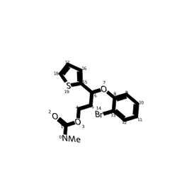 CNC(=O)OCCC(Oc1ccccc1Br)c1cccs1